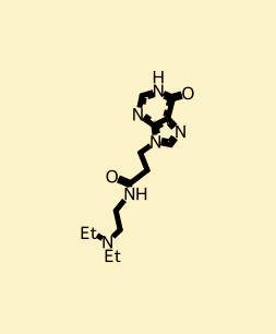 CCN(CC)CCNC(=O)CCn1cnc2c(=O)[nH]cnc21